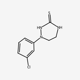 S=C1NCCN(c2cccc(Cl)c2)N1